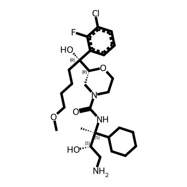 COCCCC[C@@](O)(c1cccc(Cl)c1F)[C@H]1CN(C(=O)N[C@@](C)(C2CCCCC2)[C@@H](O)CN)CCO1